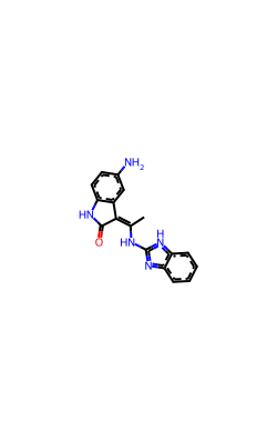 C/C(Nc1nc2ccccc2[nH]1)=C1/C(=O)Nc2ccc(N)cc21